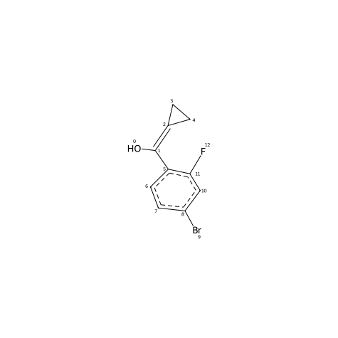 OC(=C1CC1)c1ccc(Br)cc1F